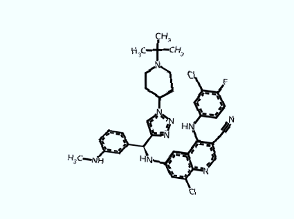 CNc1cccc([C@H](Nc2cc(Cl)c3ncc(C#N)c(Nc4ccc(F)c(Cl)c4)c3c2)c2cn(C3CCN(C(C)(C)C)CC3)nn2)c1